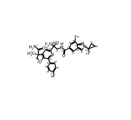 C[C@]1(C(N)=O)COc2c1cc(C(O)(CNC(=O)c1cc(F)c3nn(C4(F)CC4)cc3c1)C(F)(F)F)nc2-c1ccc(F)cc1